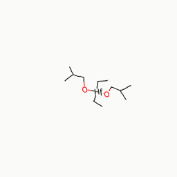 C[CH2][Hf]([CH2]C)([O]CC(C)C)[O]CC(C)C